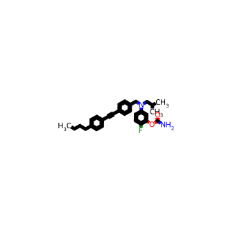 CCCCc1ccc(C#Cc2ccc(CN(CC(C)C)c3ccc(F)c(OC(N)=O)c3)cc2)cc1